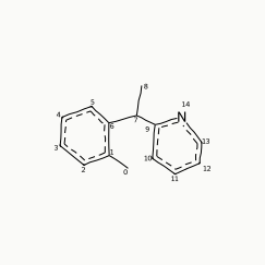 Cc1ccccc1C(C)c1ccccn1